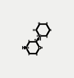 C1CC[SiH](C2CNCCO2)CC1